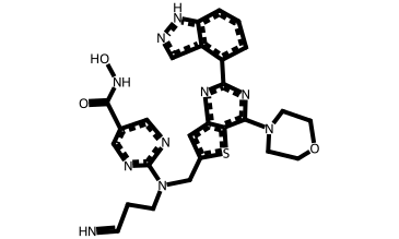 N=CCCN(Cc1cc2nc(-c3cccc4[nH]ncc34)nc(N3CCOCC3)c2s1)c1ncc(C(=O)NO)cn1